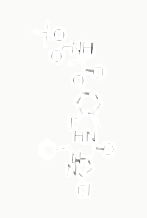 CCC(C)(NC(=O)OC(C)(C)C)C(=O)Oc1ccc(CNC(=O)c2cc(Cl)nn2CC2CCC2)c(F)c1